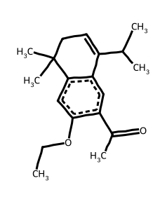 CCOc1cc2c(cc1C(C)=O)C(C(C)C)=CCC2(C)C